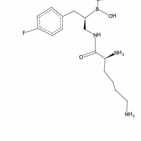 NCCCC[C@H](N)C(=O)NC[C@@H](Cc1ccc(F)cc1)B(O)O